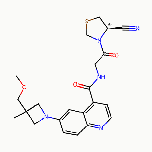 COCC1(C)CN(c2ccc3nccc(C(=O)NCC(=O)N4CSC[C@H]4C#N)c3c2)C1